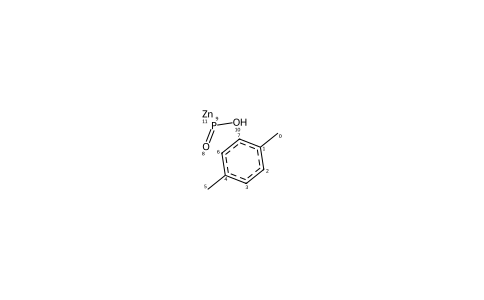 Cc1ccc(C)cc1.O=PO.[Zn]